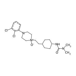 CN(C)C(=O)NC1CCC(CC[N+]2([O-])CCN(c3cccc(Cl)c3Cl)CC2)CC1